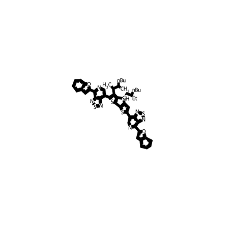 CCCCC(CC)C[Si@@H]1c2cc(-c3cnc(-c4cc5ccccc5o4)c4nsnc34)sc2-c2sc(-c3cnc(-c4cc5ccccc5o4)c4nsnc34)c(C(C)C(C)CCCC)c21